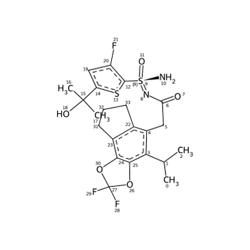 CC(C)c1c(CC(=O)N=[S@@](N)(=O)c2sc(C(C)(C)O)cc2F)c2c(c3c1OC(F)(F)O3)CCC2